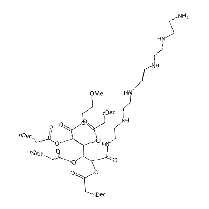 CCCCCCCCCCCC(=O)OC(C(=O)NCCNCCNCCNCCNCCN)C(OC(=O)CCCCCCCCCCC)C(OC(=O)CCCCCCCCCCC)C(OC(=O)CCCCCCCCCCC)C(=O)OCCOC